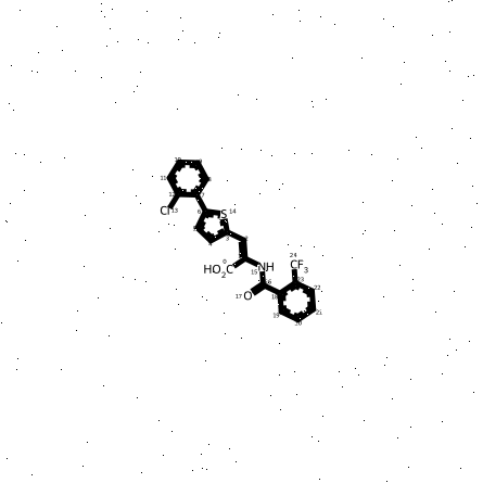 O=C(O)/C(=C\c1ccc(-c2ccccc2Cl)s1)NC(=O)c1ccccc1C(F)(F)F